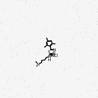 Cc1cc(C)c(-c2nnc(NCCCCN(C)C)s2)c(C)c1.Cl.Cl